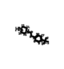 CC(C)(C)c1ccc(CCN2CCNCC2)cc1